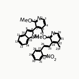 COc1nccc(I)c1-c1cc2ccccc2[nH]1.COc1nccc(I)c1C=Cc1ccccc1[N+](=O)[O-]